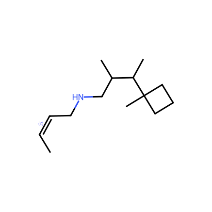 C/C=C\CNCC(C)C(C)C1(C)CCC1